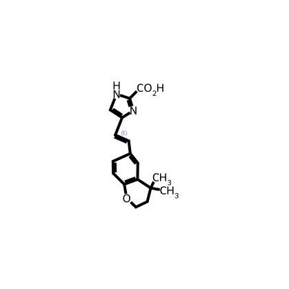 CC1(C)CCOc2ccc(/C=C/c3c[nH]c(C(=O)O)n3)cc21